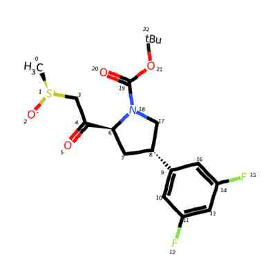 C[S@+]([O-])CC(=O)[C@@H]1C[C@@H](c2cc(F)cc(F)c2)CN1C(=O)OC(C)(C)C